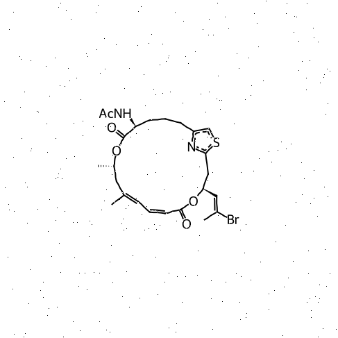 CC(=O)N[C@H]1CCCc2csc(n2)C[C@@H](/C=C(\C)Br)OC(=O)/C=C\C=C(/C)C[C@H](C)OC1=O